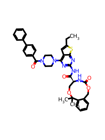 CCc1cc2c(N3CCN(C(=O)c4ccc(-c5ccccc5)cc4)CC3)nc(NC(=O)[C@@H]3COC(C)(C)c4ccccc4COC(=O)N3)nc2s1